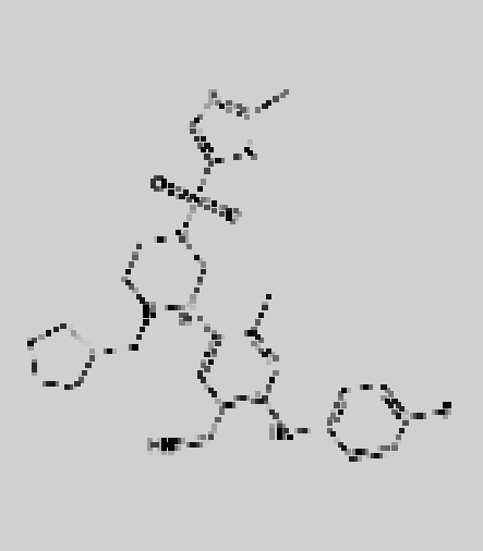 Cc1ncc(S(=O)(=O)N2CCN(CC3CCCC3)[C@@H](c3cc(C=N)c(Nc4ccc(F)cc4)cc3C)C2)s1